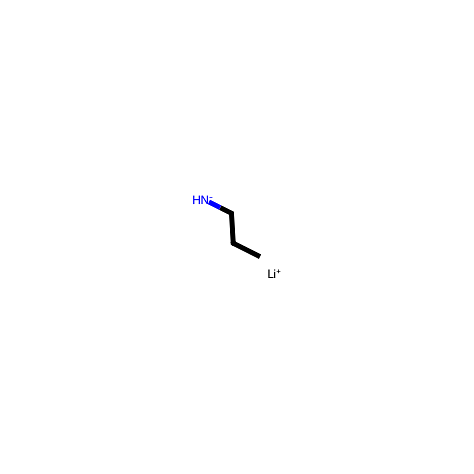 CCC[NH-].[Li+]